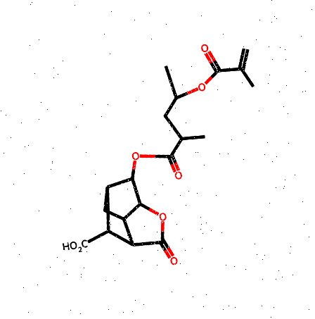 C=C(C)C(=O)OC(C)CC(C)C(=O)OC1C2CC3C1OC(=O)C3C2C(=O)O